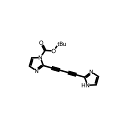 CC(C)(C)OC(=O)n1ccnc1C#CC#Cc1ncc[nH]1